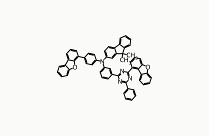 CC1(C)c2ccccc2-c2ccc(N(c3ccc(-c4cccc5c4oc4ccccc45)cc3)c3cccc(-c4nc(-c5ccccc5)nc(-c5cccc6oc7ccccc7c56)n4)c3)cc21